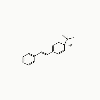 CN(C)C1(F)C=CC(/C=C/c2ccccc2)=CC1